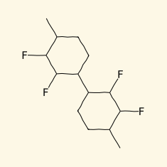 CC1CCC(C2CCC(C)C(F)C2F)C(F)C1F